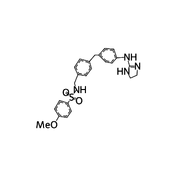 COc1ccc(S(=O)(=O)NCc2ccc(Cc3ccc(NC4=NCCN4)cc3)cc2)cc1